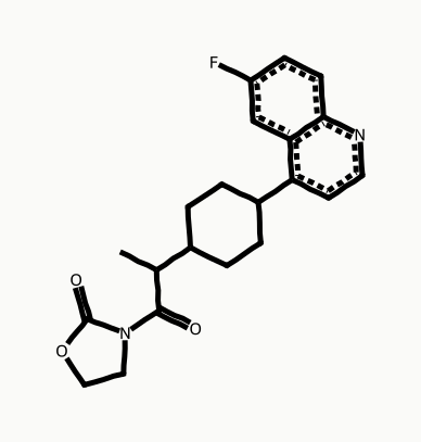 CC(C(=O)N1CCOC1=O)C1CCC(c2ccnc3ccc(F)cc23)CC1